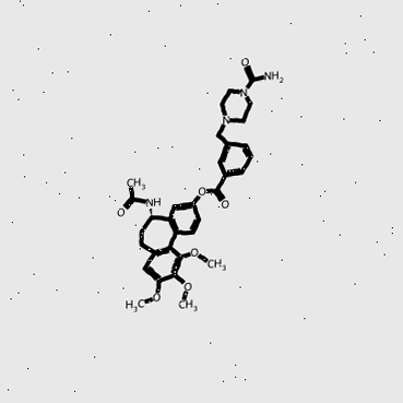 COc1cc2c(c(OC)c1OC)-c1ccc(OC(=O)c3cccc(CN4CCN(C(N)=O)CC4)c3)cc1[C@@H](NC(C)=O)CC2